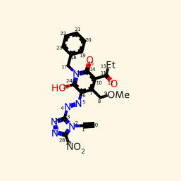 C#Cn1c(N=Nc2c(COC)c(C(=O)CC)c(=O)n(Cc3ccccc3)c2O)nnc1[N+](=O)[O-]